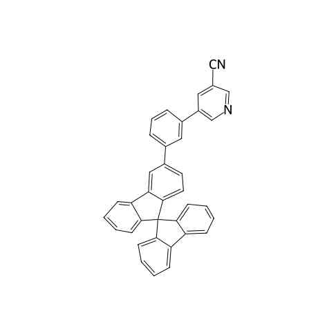 N#Cc1cncc(-c2cccc(-c3ccc4c(c3)-c3ccccc3C43c4ccccc4-c4ccccc43)c2)c1